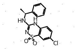 C[C@H](NC1=NS(=O)(=O)c2cc(Cl)ccc2N1)c1ccccc1